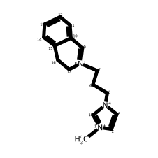 C[n+]1ccn(CCC[N+]2=Cc3ccccc3CC2)c1